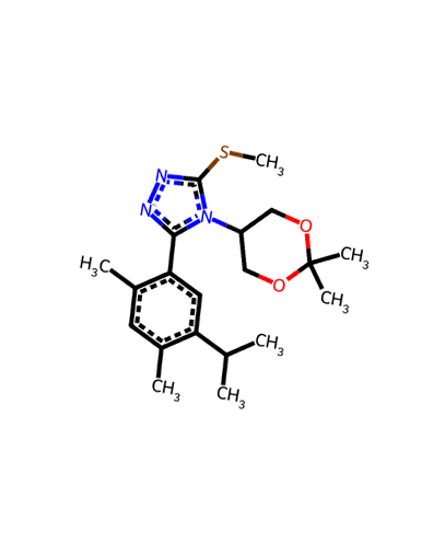 CSc1nnc(-c2cc(C(C)C)c(C)cc2C)n1C1COC(C)(C)OC1